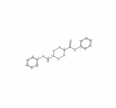 O=C(Oc1ccccc1)N1CCC(NCc2ccccn2)CC1